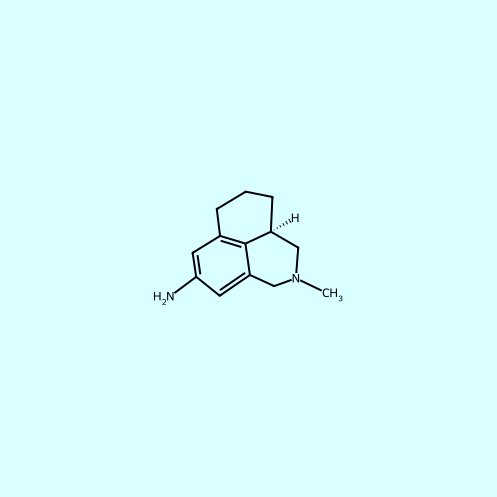 CN1Cc2cc(N)cc3c2[C@@H](CCC3)C1